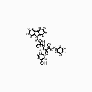 O=C(N[C@@H](Cc1ccc(O)cc1)C(=O)C(=O)OCc1ccccc1)OCC1c2ccccc2-c2ccccc21